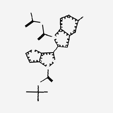 C=C(C)OC(=O)n1c(-c2nn(C(=O)OC(C)(C)C)c3ccsc23)cc2cc(O)ccc21